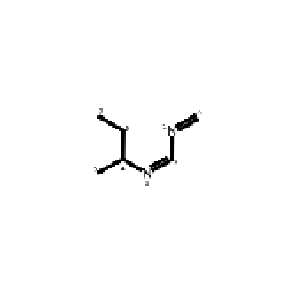 C=N/C=N\C(C)CC